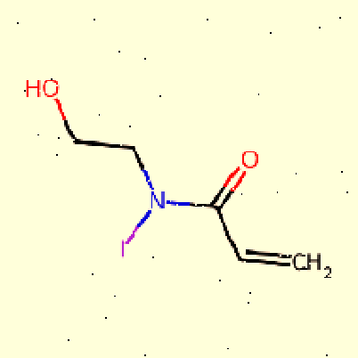 C=CC(=O)N(I)CCO